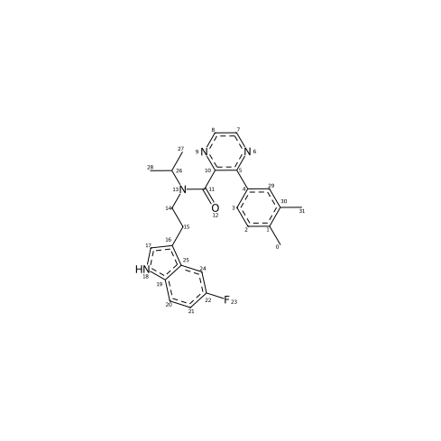 Cc1ccc(-c2nccnc2C(=O)N(CCc2c[nH]c3ccc(F)cc23)C(C)C)cc1C